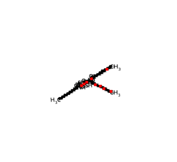 CCCCCCCCCCCCCCCC(=O)N[C@@H](CS)C(=O)N[C@@H](CS)C(=O)OCC(COC(=O)CCCCCCCCCCCCCCC)OC(=O)CCCCCCCCCCCCCCC